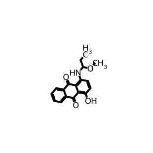 CCC(Nc1ccc(O)c2c1C(=O)c1ccccc1C2=O)OC